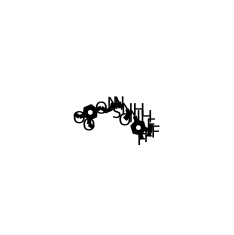 COc1ccc(OCc2nnc(NC(=O)Nc3ccc(F)c(C(F)(F)F)c3)s2)cc1OC